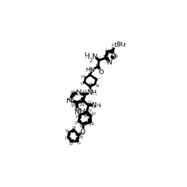 CC(C)(C)c1cc(C(N)C(=O)NC2CCC(Nc3ncnc(N)c3C(=N)c3ccc(Oc4ccccc4)cc3)CC2)no1